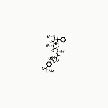 CNC(C(=O)NC(C(=O)N(C)C(C=C(C)C(=O)NS(=O)(=O)c1ccc(C(=O)OC)cc1)C(C)C)C(C)(C)C)C(C)(C)c1ccccc1